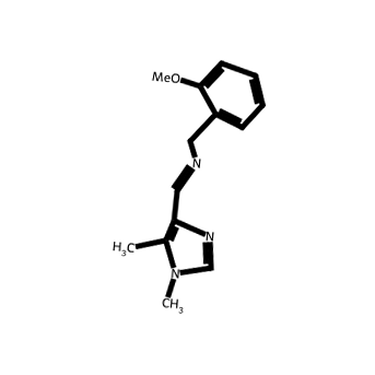 COc1ccccc1CN=Cc1ncn(C)c1C